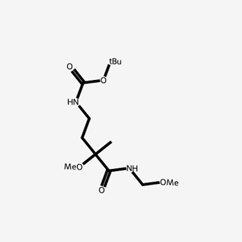 COCNC(=O)C(C)(CCNC(=O)OC(C)(C)C)OC